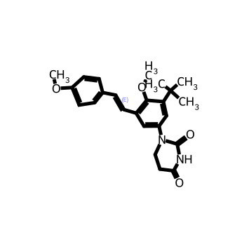 COc1ccc(/C=C/c2cc(N3CCC(=O)NC3=O)cc(C(C)(C)C)c2OC)cc1